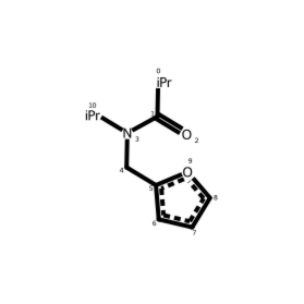 CC(C)C(=O)N(Cc1ccco1)C(C)C